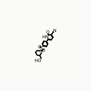 N#Cc1ccc(-c2ccc(S(=O)(=O)N3CCCC(CO)C3)cc2)[nH]c1=O